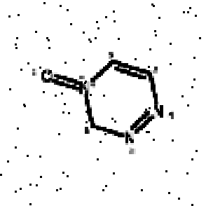 O=[N+]1C=CN=NC1